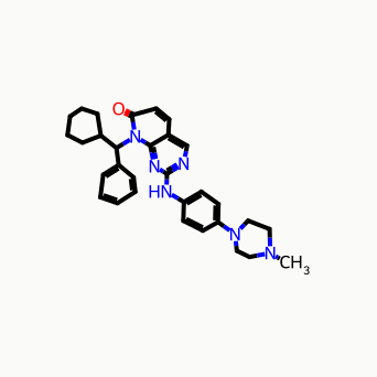 CN1CCN(c2ccc(Nc3ncc4ccc(=O)n(C(c5ccccc5)C5CCCCC5)c4n3)cc2)CC1